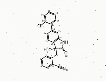 CC1(Cc2ccccc2C#N)C(=O)Nc2cc(-c3ccccc3Cl)ccc21